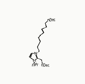 CCCCCCCCCCCCCCCCCC[n+]1ccn(CCC)c1CCCCCCCCCCC